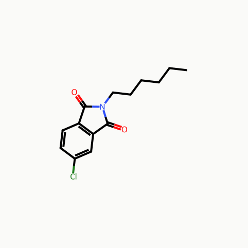 CCCCCCN1C(=O)c2ccc(Cl)cc2C1=O